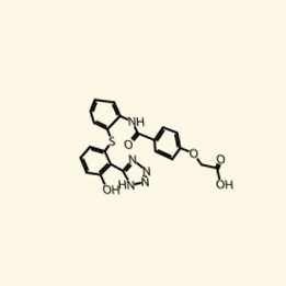 O=C(O)COc1ccc(C(=O)Nc2ccccc2Sc2cccc(O)c2-c2nnn[nH]2)cc1